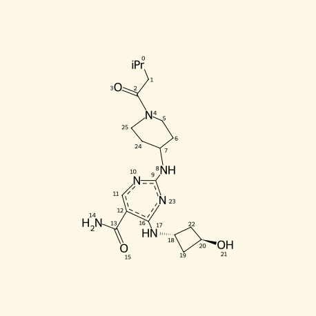 CC(C)CC(=O)N1CCC(Nc2ncc(C(N)=O)c(N[C@H]3C[C@H](O)C3)n2)CC1